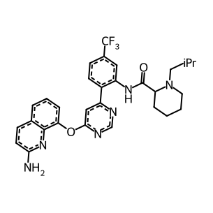 CC(C)CN1CCCCC1C(=O)Nc1cc(C(F)(F)F)ccc1-c1cc(Oc2cccc3ccc(N)nc23)ncn1